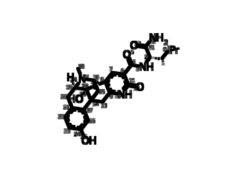 CC(C)C[C@H](NC(=O)c1cc2c([nH]c1=O)CC13CCN(C)[C@H](Cc4ccc(O)cc41)[C@@]3(O)C2)C(N)=O